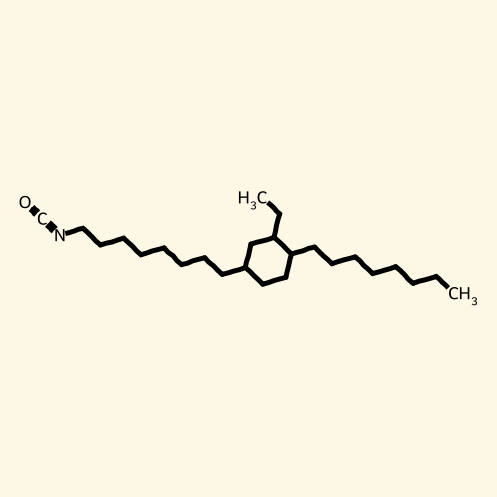 CCCCCCCCC1CCC(CCCCCCCCN=C=O)CC1CC